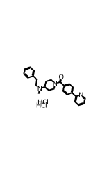 CN(CCc1ccccc1)C1CCN(C(=O)c2ccc(-c3ccccn3)cc2)CC1.Cl.Cl